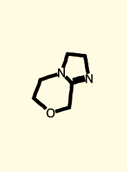 C1CN2CCOCC2=N1